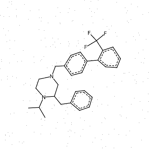 CC(C)N1CCN(Cc2ccc(-c3ccccc3C(F)(F)F)cc2)CC1Cc1ccccc1